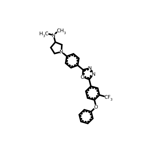 CN(C)C1CCN(c2ccc(-c3nnc(-c4ccc(Oc5ccccc5)c(C(F)(F)F)c4)o3)cc2)C1